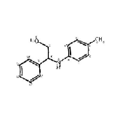 Cc1ccc(NC(CO)c2ccccc2)cc1